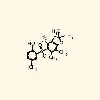 Cc1ccc(O)c(S(=O)(=O)c2c(C)c(C)c3c(c2C)CC(C)(C)O3)c1